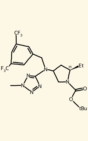 CC[C@@H]1CC(N(Cc2cc(C(F)(F)F)cc(C(F)(F)F)c2)c2nnn(C)n2)CN1C(=O)OC(C)(C)C